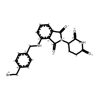 O=C1CCC(N2C(=O)c3cccc(NCc4ccc(CBr)cc4)c3C2=O)C(=O)N1